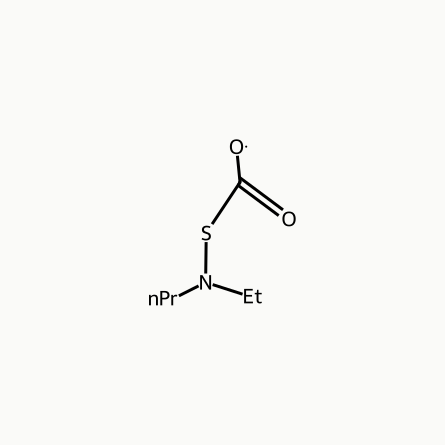 CCCN(CC)SC([O])=O